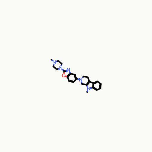 CN1CCN(c2nc3cc(N4CCc5c(n(C)c6ccccc56)C4)ccc3o2)CC1